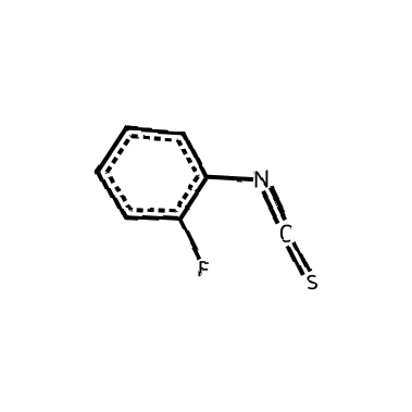 Fc1ccccc1N=C=S